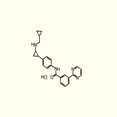 Cl.O=C(Nc1ccc(C2CC2NCC2CC2)cc1)c1cccc(-c2ncccn2)c1